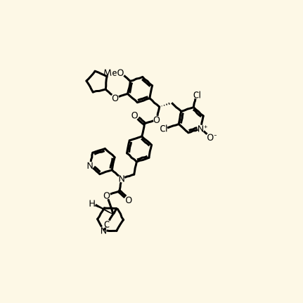 COc1ccc([C@H](Cc2c(Cl)c[n+]([O-])cc2Cl)OC(=O)c2ccc(CN(C(=O)O[C@H]3CN4CCC3CC4)c3cccnc3)cc2)cc1OC1CCCC1